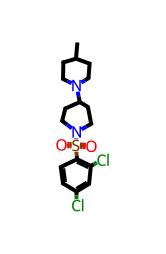 CC1CCN(C2CCN(S(=O)(=O)c3ccc(Cl)cc3Cl)CC2)CC1